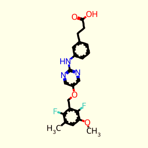 COc1cc(C)c(F)c(COc2cnc(Nc3cccc(CCC(=O)O)c3)nc2)c1F